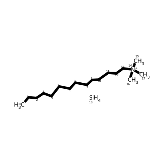 CCCCCCCCCCCCCC[N+](C)(C)C.[SiH4]